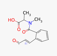 CC(C(=O)O)N(C)C(=O)c1ccccc1/C=C/[C]=O